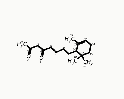 CC(=O)CC(=O)CCCCC1C(C)=CCCC1(C)C